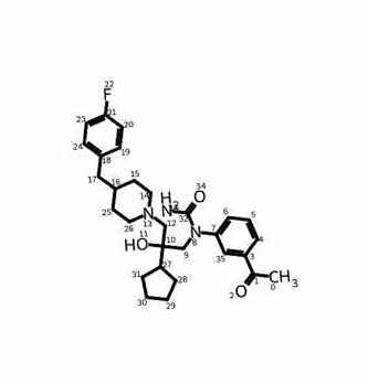 CC(=O)c1cccc(N(CC(O)(CN2CCC(Cc3ccc(F)cc3)CC2)C2CCCC2)C(N)=O)c1